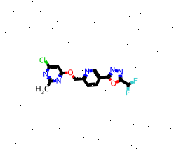 Cc1nc(Cl)cc(OCc2ccc(-c3nnc(C(F)F)o3)cn2)n1